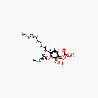 CCCCCCCc1ccc(OC(=O)O)c(O)c1OCC